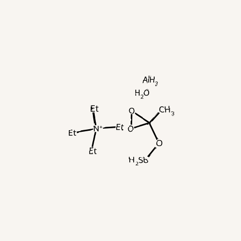 CC1([O][SbH2])OO1.CC[N+](CC)(CC)CC.O.[AlH3]